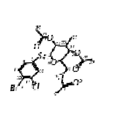 CC(=O)OCC1O[C@H](Sc2ccc(Br)c(Cl)c2)C(OC(C)=O)C(C)[C@H]1OC(C)=O